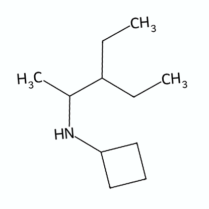 CCC(CC)C(C)NC1CCC1